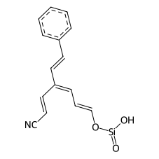 N#CC=CC(C=Cc1ccccc1)=CC=CO[Si](=O)O